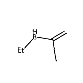 C=C(C)BCC